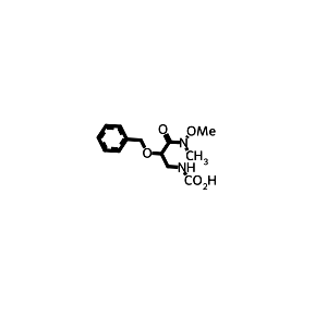 CON(C)C(=O)C(CNC(=O)O)OCc1ccccc1